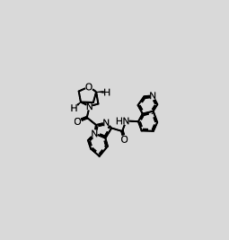 O=C(Nc1cccc2cnccc12)c1nc(C(=O)N2C[C@@H]3C[C@H]2CO3)n2ccccc12